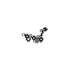 COc1cc(C(=O)N2CCCCc3cc(Cl)ccc32)ccc1NC(=O)c1ccccc1OCCCC(=O)n1ccnc1